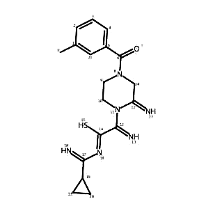 Cc1cccc(C(=O)N2CCN(C(=N)/C(S)=N/C(=N)C3CC3)C(=N)C2)c1